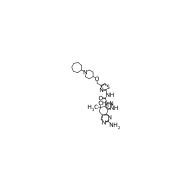 CC1(C)Cc2cnc(N)nc2-c2[nH]nc(C(=O)Nc3nc(COC4CCN(C5CCCCCC5)CC4)cs3)c21